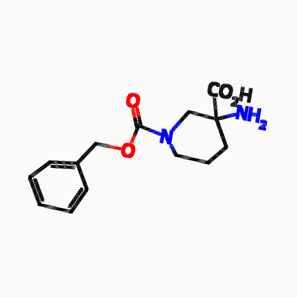 NC1(C(=O)O)CCCN(C(=O)OCc2ccccc2)C1